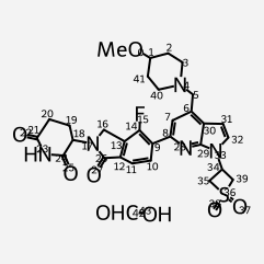 COC1CCN(Cc2cc(-c3ccc4c(c3F)CN(C3CCC(=O)NC3=O)C4=O)nc3c2ccn3C2CS(=O)(=O)C2)CC1.O=CO